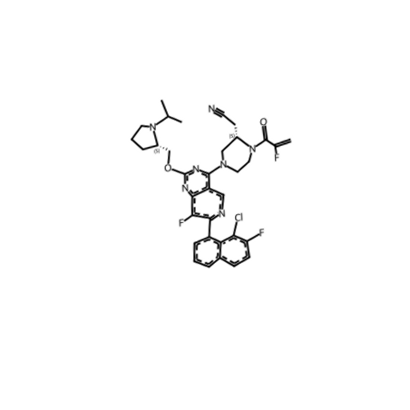 C=C(F)C(=O)N1CCN(c2nc(OC[C@@H]3CCCN3C(C)C)nc3c(F)c(-c4cccc5ccc(F)c(Cl)c45)ncc23)C[C@@H]1CC#N